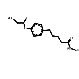 CCC(I)Oc1ccc(CCCCC(=O)NC)cc1